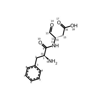 N[C@@H](Cc1ccccc1)C(=O)N[C@H](C=O)CC(=O)O